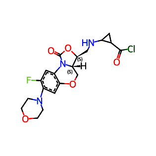 O=C(Cl)C1CC1NC[C@@H]1OC(=O)N2c3cc(F)c(N4CCOCC4)cc3OC[C@@H]12